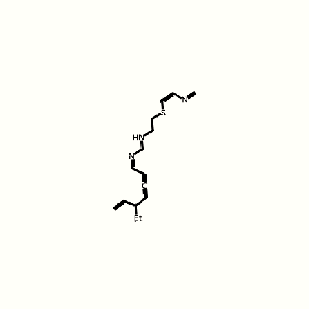 C=CC(C=C=C/C=N\CNCCS/C=C\N=C)CC